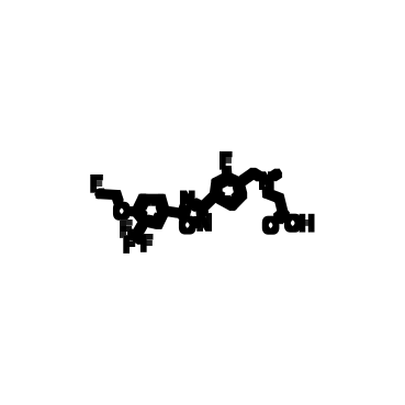 CN(CCC(=O)O)Cc1ccc(-c2noc(-c3ccc(OCCF)c(C(F)(F)F)c3)n2)cc1F